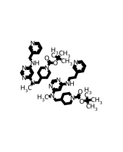 CN(CC1CCN(C(=O)OC(C)(C)C)CC1)c1cc(NCCc2cccnc2)ncn1.CN(CC1CCN(C(=O)OC(C)(C)C)CC1)c1cc(NCc2cccnc2)ncn1